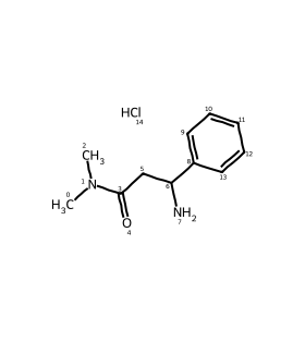 CN(C)C(=O)CC(N)c1ccccc1.Cl